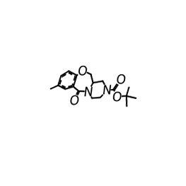 Cc1ccc2c(c1)C(=O)N1CCN(C(=O)OC(C)(C)C)CC1CO2